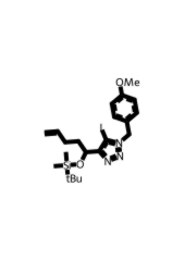 C=CCCC(O[Si](C)(C)C(C)(C)C)c1nnn(Cc2ccc(OC)cc2)c1I